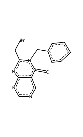 CC(C)Cc1nc2ncncc2c(=O)n1Cc1ccccc1